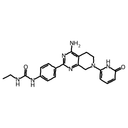 CCNC(=O)Nc1ccc(-c2nc(N)c3c(n2)CN(c2cccc(=O)[nH]2)CC3)cc1